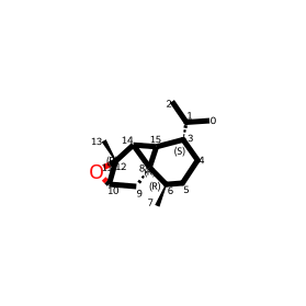 CC(C)[C@@H]1CC[C@@H](C)[C@@]23CC4O[C@]4(C)C2C13